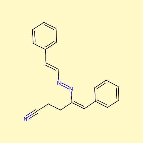 N#CCCC(=Cc1ccccc1)N=NC=Cc1ccccc1